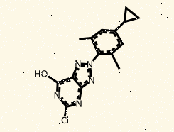 Cc1cc(C2CC2)cc(C)c1-n1nc2nc(Cl)nc(O)c2n1